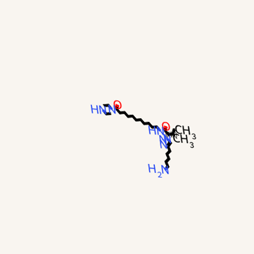 CC[C@H](C)[C@@H](C(=O)NCCCCCCCCCCC(=O)N1CCNCC1)n1cc(CCCCCN)nn1